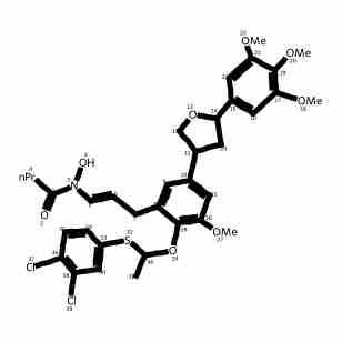 CCCC(=O)N(O)C=CCc1cc(C2COC(c3cc(OC)c(OC)c(OC)c3)C2)cc(OC)c1OC(C)Sc1ccc(Cl)c(Cl)c1